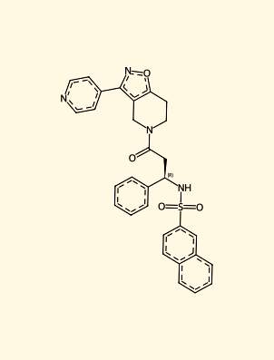 O=C(C[C@@H](NS(=O)(=O)c1ccc2ccccc2c1)c1ccccc1)N1CCc2onc(-c3ccncc3)c2C1